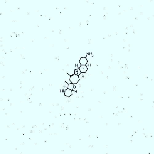 CC1=C2C[C@H]3[C@@H](CC[C@@H]4C[C@H](N)CC[C@@]43C)[C@@H]2CC[C@@]2(C1)O[C@@H]1C[C@H](C)CN[C@H]1[C@H]2C